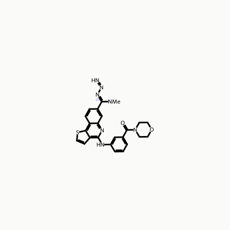 CN/C(=N\N=N)c1ccc2c(c1)nc(Nc1cccc(C(=O)N3CCOCC3)c1)c1ccsc12